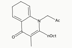 CCCCCCCCc1c(C)c(=O)c2c(n1CC(C)=O)=CCCC=2